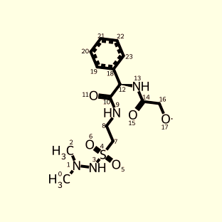 CN(C)NS(=O)(=O)CCNC(=O)[C@H](NC(=O)C[O])c1ccccc1